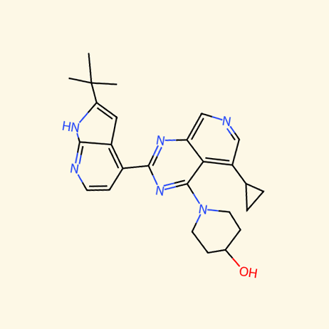 CC(C)(C)c1cc2c(-c3nc(N4CCC(O)CC4)c4c(C5CC5)cncc4n3)ccnc2[nH]1